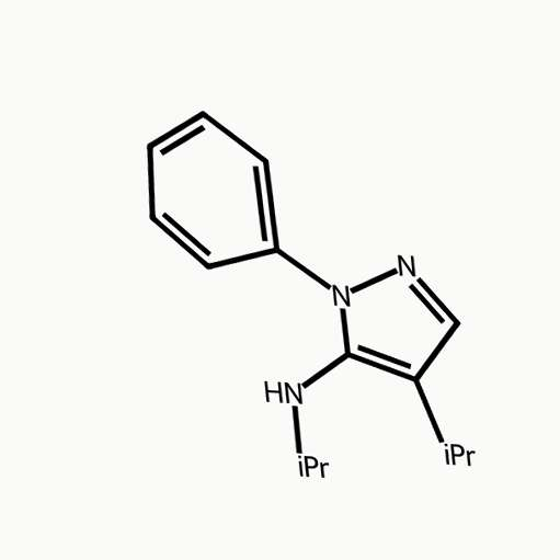 CC(C)Nc1c(C(C)C)cnn1-c1ccccc1